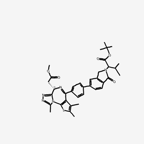 COC(=O)C[C@@H]1N=C(c2ccc(-c3ccc4c(c3)CN(C(C(=O)OC(C)(C)C)C(C)C)C4=O)cc2)c2c(sc(C)c2C)-n2c(C)nnc21